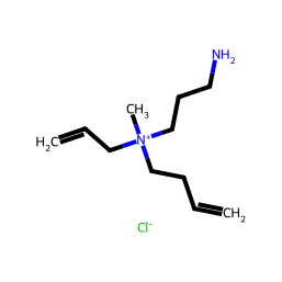 C=CCC[N+](C)(CC=C)CCCN.[Cl-]